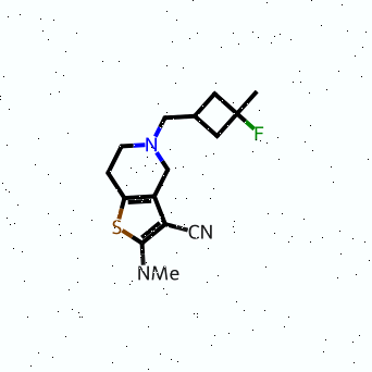 CNc1sc2c(c1C#N)CN(CC1CC(C)(F)C1)CC2